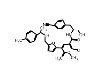 C=C(OC)/C(=C\C(=C\Cl)C(=O)N[C@@H](CO)Cc1ccc(C#N)cc1)c1ccc(CNC(C)c2ccc(C)cc2)o1